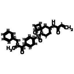 C=CC(=O)NC1CCN(S(=O)(=O)c2ccc(C(=O)N(C)Cc3ccccc3)cc2)C2(CCC2)C1